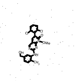 COn1c(=O)c(-c2c(Cl)cccc2Cl)cc2cnc(Nc3cc(CO)ccc3C)nc21